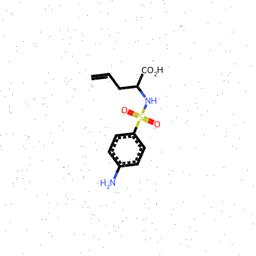 C=CCC(NS(=O)(=O)c1ccc(N)cc1)C(=O)O